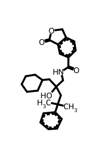 CC(C)(CC(O)(CNC(=O)c1ccc2c(c1)C(=O)OC2)CC1CCCCC1)c1ccccc1